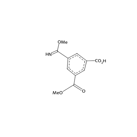 COC(=N)c1cc(C(=O)O)cc(C(=O)OC)c1